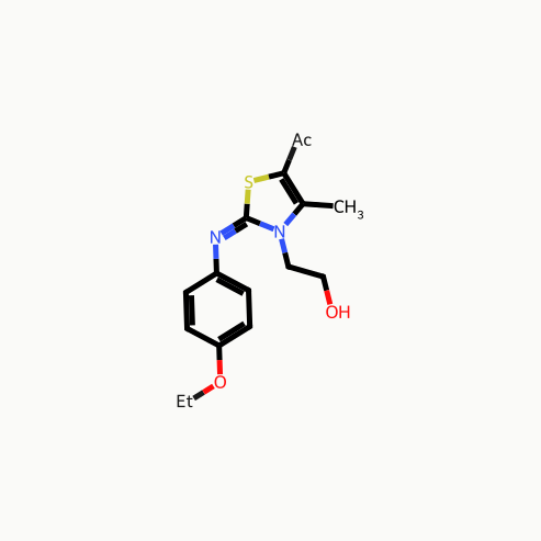 CCOc1ccc(/N=c2/sc(C(C)=O)c(C)n2CCO)cc1